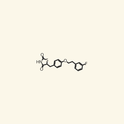 O=C1NC(=O)C(Cc2ccc(OCCc3cccc(F)c3)cc2)S1